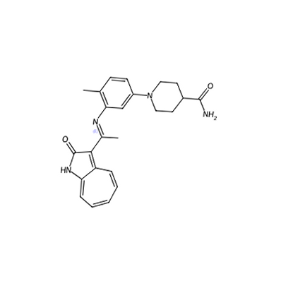 C/C(=N\c1cc(N2CCC(C(N)=O)CC2)ccc1C)c1c2cccccc-2[nH]c1=O